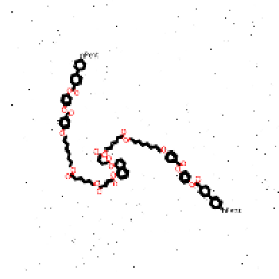 CCCCCC1CCC(C2CCC(C(=O)Oc3ccc(OC(=O)c4ccc(OCCCCCCCCOC(=O)CCCCCOC(=O)CCC(=O)Oc5cccc6cccc(OC(=O)CCC(=O)OCCCCCC(=O)OCCCCCCCCOc7ccc(C(=O)Oc8ccc(OC(=O)C9CCC(C%10CCC(CCCCC)CC%10)CC9)cc8)cc7)c56)cc4)cc3)CC2)CC1